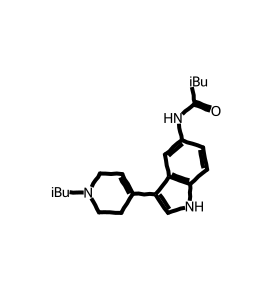 CCC(C)C(=O)Nc1ccc2[nH]cc(C3=CCN(C(C)CC)CC3)c2c1